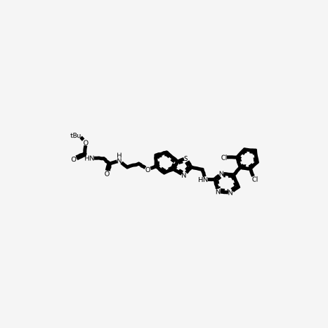 CC(C)(C)OC(=O)NCC(=O)NCCOc1ccc2sc(CNc3nncc(-c4c(Cl)cccc4Cl)n3)nc2c1